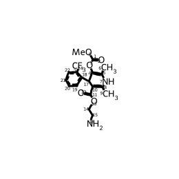 COC(=O)OC1=C(C)NC(C)=C(C(=O)OCCN)C1c1ccccc1C(F)(F)F